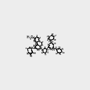 Cc1ccc2ccc3c(-c4cccc(-c5nc(-c6ccccc6)cc(-c6ccccn6)n5)c4)cc(-c4ccccc4)nc3c2n1